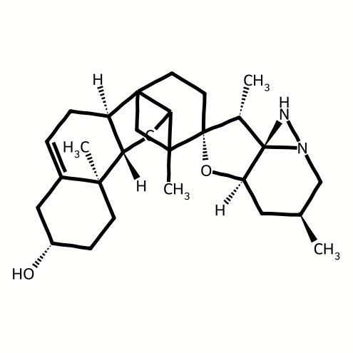 C[C@H]1C[C@H]2O[C@]3(CCC45CC3(C)C4C[C@H]3[C@H]5CC=C4C[C@@H](O)CC[C@@]43C)[C@H](C)[C@@]23NN3C1